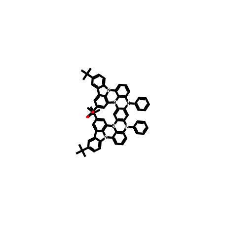 CC(C)(C)c1ccc2c(c1)c1cc(C(C)(C)C)cc3c1n2-c1cccc2c1B3c1cc3c(cc1N2c1ccccc1)N(c1ccccc1)c1cccc2c1B3c1cc(C(C)(C)C)cc3c4cc(C(C)(C)C)ccc4n-2c13